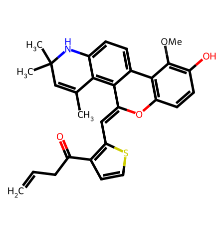 C=CCC(=O)c1ccsc1/C=C1\Oc2ccc(O)c(OC)c2-c2ccc3c(c21)C(C)=CC(C)(C)N3